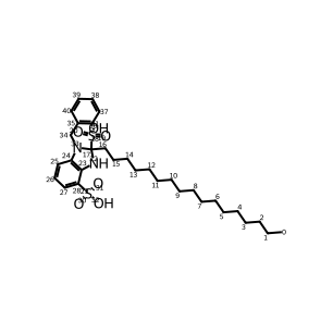 CCCCCCCCCCCCCCCCCC1(S(=O)(=O)O)Nc2c(cccc2S(=O)(=O)O)N1Cc1ccccc1